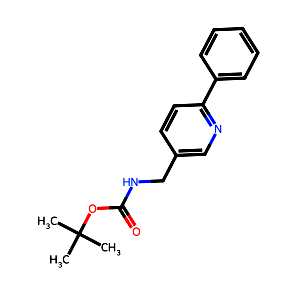 CC(C)(C)OC(=O)NCc1ccc(-c2ccccc2)nc1